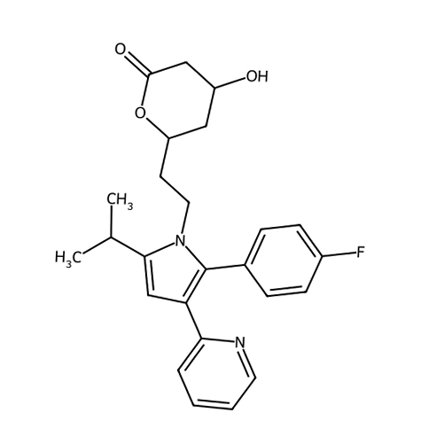 CC(C)c1cc(-c2ccccn2)c(-c2ccc(F)cc2)n1CCC1CC(O)CC(=O)O1